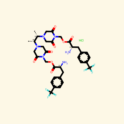 C[C@H]([C@H](C)N1CC(=O)N(COC(=O)[C@@H](N)Cc2ccc(C(F)(F)F)cc2)C(=O)C1)N1CC(=O)N(COC(=O)[C@@H](N)Cc2ccc(C(F)(F)F)cc2)C(=O)C1.Cl